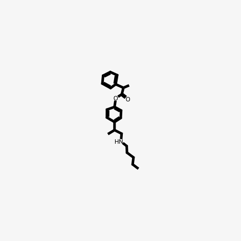 CCCCCNCC(C)c1ccc(OC(=O)C(C)c2ccccc2)cc1